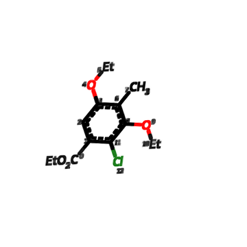 CCOC(=O)c1cc(OCC)c(C)c(OCC)c1Cl